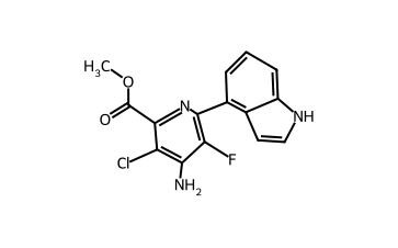 COC(=O)c1nc(-c2cccc3[nH]ccc23)c(F)c(N)c1Cl